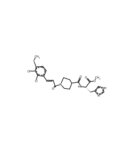 COC(=O)[C@H](Cc1c[nH]cn1)NC(=O)C1CCN(C(=O)/C=C/c2ccc(SC)c(Cl)c2Cl)CC1